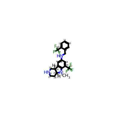 CN1c2c(cc(NCc3ccccc3C(F)(F)F)cc2C(F)(F)F)[C@@H]2CNCC[C@@H]21